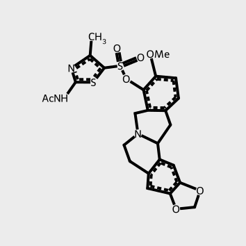 COc1ccc2c(c1OS(=O)(=O)c1sc(NC(C)=O)nc1C)CN1CCc3cc4c(cc3C1C2)OCO4